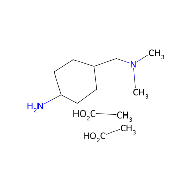 CC(=O)O.CC(=O)O.CN(C)CC1CCC(N)CC1